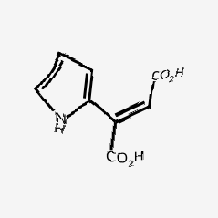 O=C(O)/C=C(/C(=O)O)c1ccc[nH]1